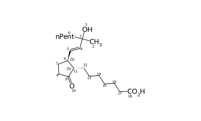 CCCCCC(C)(O)C=C[C@@H]1CCC(=O)[C@H]1CCCCCCC(=O)O